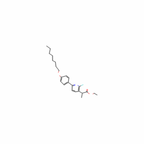 CCCCCCCCOc1ccc(-c2ccc(C(C)C(=O)OCC)c(F)n2)cc1